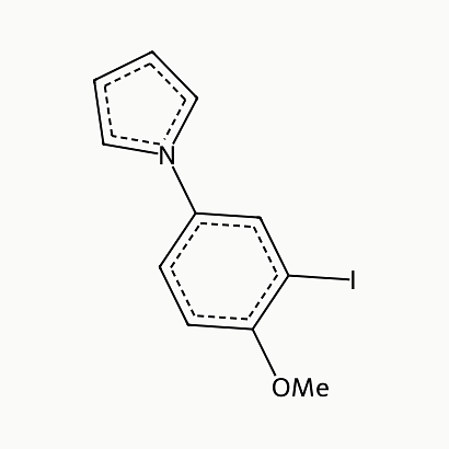 COc1ccc(-n2cccc2)cc1I